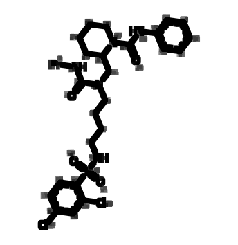 CC(C)NC(=O)N(CCCCNS(=O)(=O)c1ccc(Cl)cc1Cl)CC1CCCCN1C(=O)Nc1ccccc1